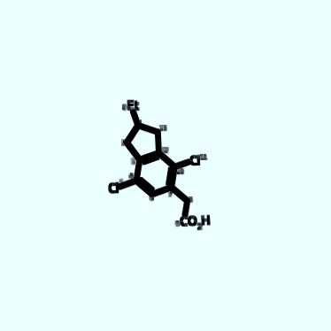 CCC1Cc2c(Cl)cc(CC(=O)O)c(Cl)c2C1